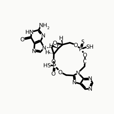 Nc1nc2c(ncn2[C@@H]2O[C@@H]3COP(=S)(S)OCCn4c(nc5cncnc54)COP(=O)(S)O[C@@H]2[C@@H]3F)c(=O)[nH]1